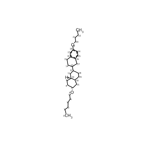 CCCCCCO[C@@H]1CC[C@@H]2CC(C3CCc4cc(OCCCC)ccc4C3)CCC2C1